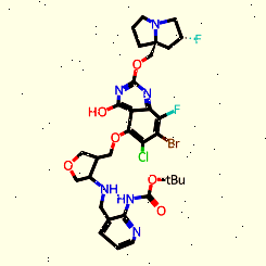 CC(C)(C)OC(=O)Nc1ncccc1CNC1COCC1COc1c(Cl)c(Br)c(F)c2nc(OC[C@@]34CCCN3C[C@H](F)C4)nc(O)c12